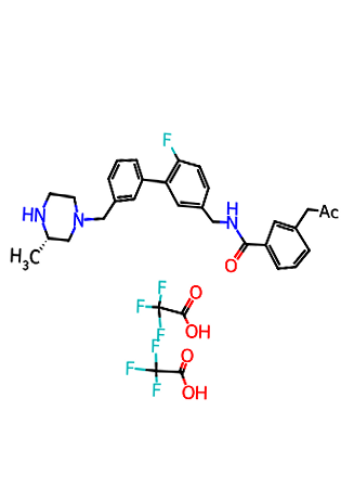 CC(=O)Cc1cccc(C(=O)NCc2ccc(F)c(-c3cccc(CN4CCN[C@@H](C)C4)c3)c2)c1.O=C(O)C(F)(F)F.O=C(O)C(F)(F)F